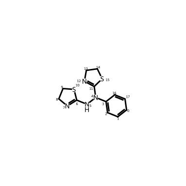 c1ccc(N(NC2=NCCS2)C2=NCCS2)cc1